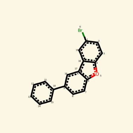 Brc1ccc2oc3ccc(-c4ccccc4)cc3c2c1